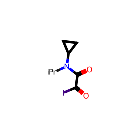 CC(C)N(C(=O)C(=O)I)C1CC1